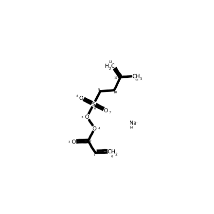 C=CC(=O)OOS(=O)(=O)CCC(=C)C.[Na]